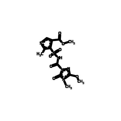 COC(=O)c1csc(C)c1S(=O)(=O)NC(=O)n1nc(OC)n(C)c1=O